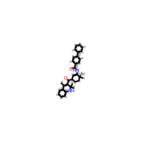 CC(=O)C1(C)CCC(C(=O)C2=C(C)c3ccccc3NC2(C)C)C=C1NC(=O)c1ccc(-c2ccccc2)cc1